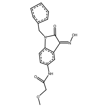 COCC(=O)Nc1ccc2c(c1)/C(=N/O)C(=O)N2Cc1ccccc1